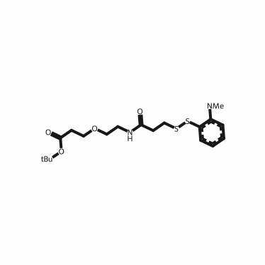 CNc1ccccc1SSCCC(=O)NCCOCCC(=O)OC(C)(C)C